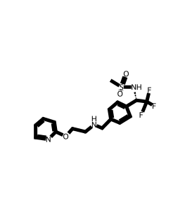 CS(=O)(=O)N[C@@H](c1ccc(CNCCOc2ccccn2)cc1)C(F)(F)F